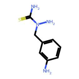 NC(=S)N(N)Cc1cccc(N)c1